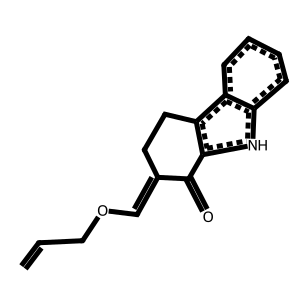 C=CCOC=C1CCc2c([nH]c3ccccc23)C1=O